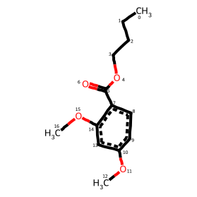 CCCCOC(=O)c1ccc(OC)cc1OC